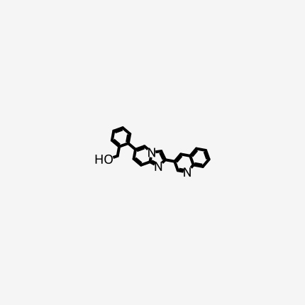 OCc1ccccc1-c1ccc2nc(-c3cnc4ccccc4c3)cn2c1